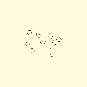 c1ccc(-c2cccc(-c3nc(-c4cccc(-c5cccc(-c6cc7c(-c8ccc9ccccc9c8)nc8ccccc8c7c7ccccc67)c5)c4)c4ccccc4n3)c2)cc1